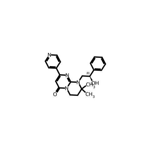 CC1(C)CCn2c(nc(-c3ccncc3)cc2=O)N1C[C@H](O)c1ccccc1